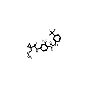 COCC1(C(=O)Nc2ccc(S(=O)(=O)Nc3cccc(C(F)(F)F)c3)c(C)c2)CC1